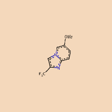 COc1ccc2nc(C(F)(F)F)cn2c1